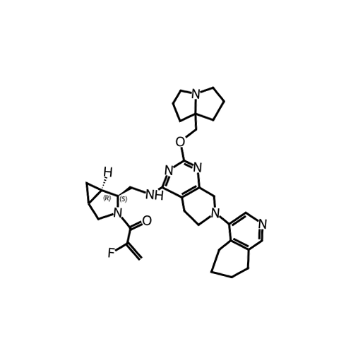 C=C(F)C(=O)N1CC2C[C@H]2[C@H]1CNc1nc(OCC23CCCN2CCC3)nc2c1CCN(c1cncc3c1CCCC3)C2